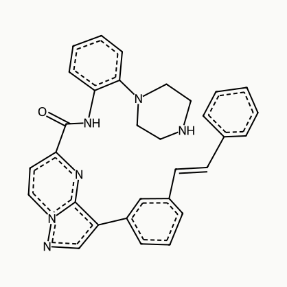 O=C(Nc1ccccc1N1CCNCC1)c1ccn2ncc(-c3cccc(/C=C/c4ccccc4)c3)c2n1